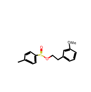 COc1cccc(CCOS(=O)c2ccc(C)cc2)c1